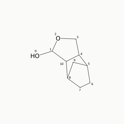 OC1OCC2C3CCC(C3)C12